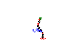 CC(C)(C(=O)O)C1CC(OCCN2CCN(c3nc(N)nc4c3CCc3cc(OCc5ccc(OC(F)(F)F)cc5)ccc3-4)CC2)C1